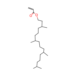 C=CC(=O)OCCC(C)CCCC(C)CCCC(C)CCCC(C)C